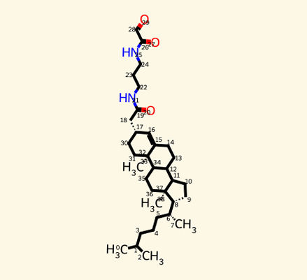 CC(C)CCC[C@@H](C)[C@H]1CCC2C3CCC4=C[C@@H](CC(=O)NCCCNC(=O)C=O)CC[C@]4(C)C3CC[C@@]21C